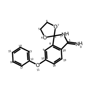 N=C1NC2(OCCO2)c2cc(Oc3ccccc3)ccc21